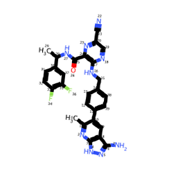 Cc1nc2[nH]nc(N)c2cc1-c1ccc(CNc2ncc(C#N)nc2C(=O)NC(C)c2ccc(F)c(F)c2)cc1